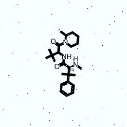 CN[C@H](C(=O)NC(C(=O)N1CCCCC1C)C(C)(C)C)C(C)(C)c1ccccc1